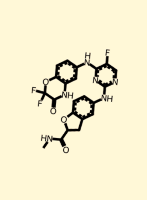 CNC(=O)C1Cc2cc(Nc3ncc(F)c(Nc4ccc5c(c4)NC(=O)C(F)(F)O5)n3)ccc2O1